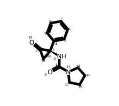 O=C(N[C@@]1(c2ccccc2)CC1=O)N1CCCC1